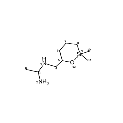 CC(N)NCC1CCC[Si](C)(C)O1